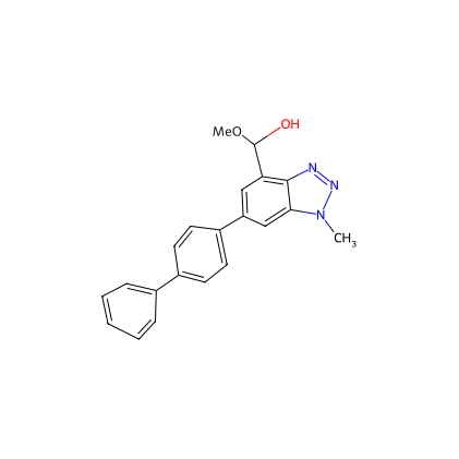 COC(O)c1cc(-c2ccc(-c3ccccc3)cc2)cc2c1nnn2C